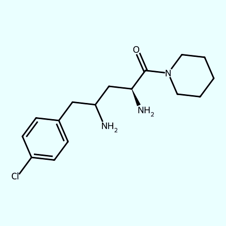 NC(Cc1ccc(Cl)cc1)C[C@H](N)C(=O)N1CCCCC1